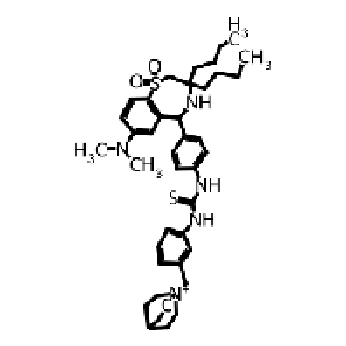 CCCCC1(CCCC)CS(=O)(=O)c2ccc(N(C)C)cc2C(c2ccc(NC(=S)Nc3cccc(C[N+]45CCC(CC4)CC5)c3)cc2)N1